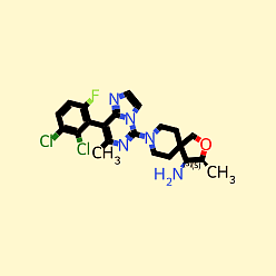 Cc1nc(N2CCC3(CC2)CO[C@@H](C)[C@H]3N)n2ccnc2c1-c1c(F)ccc(Cl)c1Cl